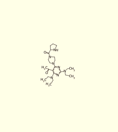 CCN(CC)c1nc(N(CC)CC)c(C(C)=O)c(N2CCN(C(=O)C3CCCN3)CC2)n1